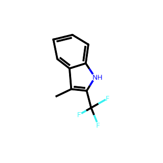 Cc1c(C(F)(F)F)[nH]c2ccccc12